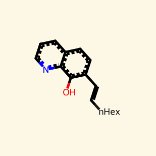 CCCCCCC=Cc1ccc2cccnc2c1O